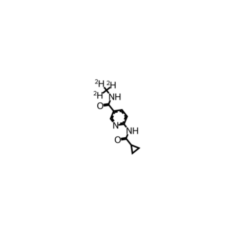 [2H]C([2H])([2H])NC(=O)c1ccc(NC(=O)C2CC2)nc1